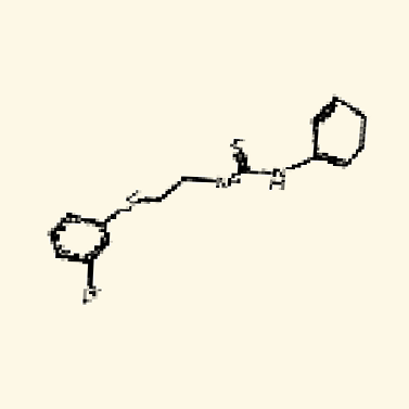 S=C(NCCSc1cccc(Br)c1)NC1=CC[CH]C=C1